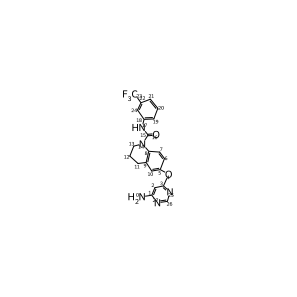 Nc1cc(Oc2ccc3c(c2)CCCN3C(=O)Nc2cccc(C(F)(F)F)c2)ncn1